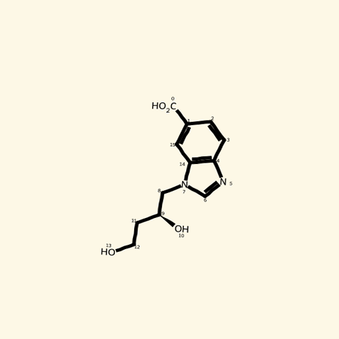 O=C(O)c1ccc2ncn(C[C@@H](O)CCO)c2c1